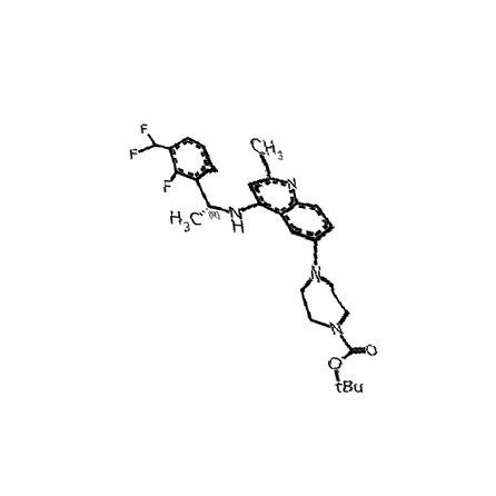 Cc1cc(N[C@H](C)c2cccc(C(F)F)c2F)c2cc(N3CCN(C(=O)OC(C)(C)C)CC3)ccc2n1